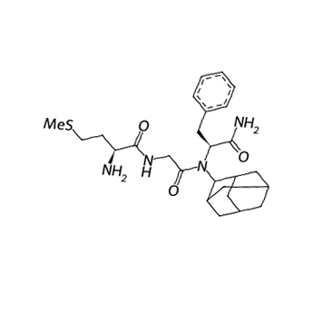 CSCC[C@H](N)C(=O)NCC(=O)N(C1C2CC3CC(C2)CC1C3)[C@@H](Cc1ccccc1)C(N)=O